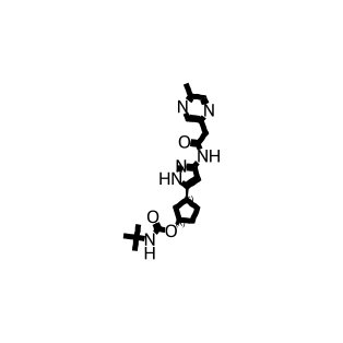 Cc1cnc(CC(=O)Nc2cc([C@H]3CC[C@@H](OC(=O)NC(C)(C)C)C3)[nH]n2)cn1